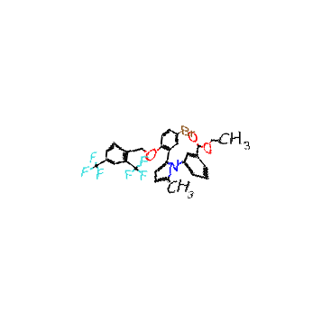 CCOC(=O)c1cccc(-n2c(C)ccc2-c2cc(Br)ccc2OCc2ccc(C(F)(F)F)cc2C(F)(F)F)c1